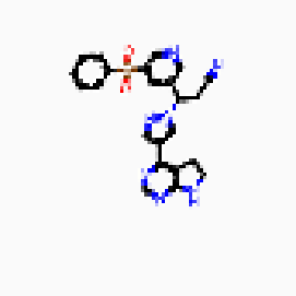 N#CCC(c1cncc(S(=O)(=O)c2ccccc2)c1)n1cc(-c2ncnc3c2CCN3)cn1